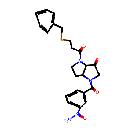 N[N+](=O)c1cccc(C(=O)N2CC(=O)C3C2CCN3C(=O)[CH]CSCc2ccccc2)c1